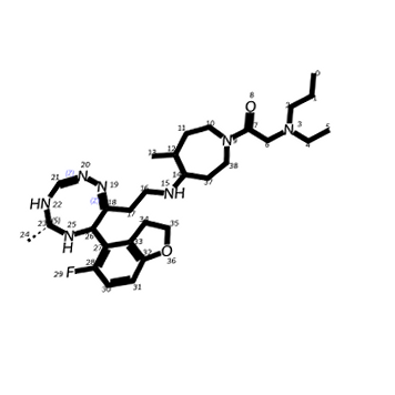 CCCN(CC)CC(=O)N1CCC(C)C(NCC/C2=N/N=C\N[C@@H](C)NC2c2c(F)ccc3c2CCO3)CC1